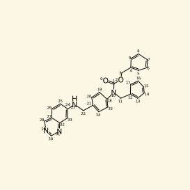 O=C(OCc1ccccc1)N(Cc1ccccc1)c1ccc(CNc2ccc3cncnc3c2)cc1